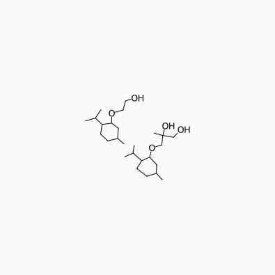 CC1CCC(C(C)C)C(OCC(C)(O)CO)C1.CC1CCC(C(C)C)C(OCCO)C1